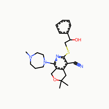 CN1CCCN(c2nc(SCC(O)c3ccccc3)c(C#N)c3c2COC(C)(C)C3)CC1